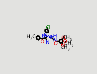 COc1cc(C(=O)NCCCNc2c(C#N)c(C(=O)c3ccc(C)cc3)nn2-c2ccc(Cl)cc2)cc(OC)c1OC